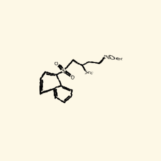 CCCCCCCCCCCC[CH]([Sn])CS(=O)(=O)c1cccc2ccccc12